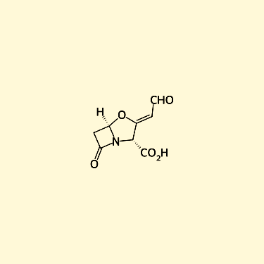 O=C/C=C1\O[C@@H]2CC(=O)N2[C@H]1C(=O)O